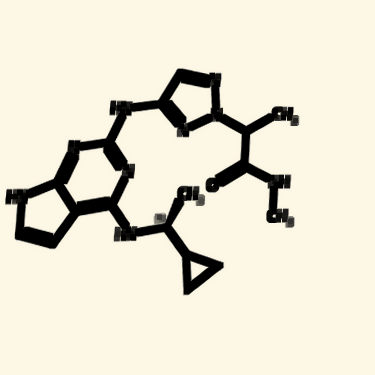 CNC(=O)C(C)n1ncc(Nc2nc(N[C@@H](C)C3CC3)c3cc[nH]c3n2)n1